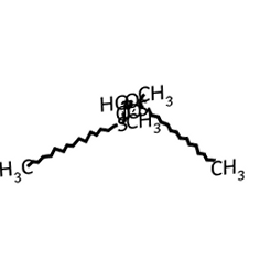 CCCCCCCCCCCCCCCCSC(C)OP(=O)(O)OC(C)SCCCCCCCCCCCCCCCC